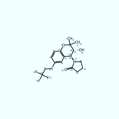 CC1(C)Oc2ccc(SCC(F)(F)F)cc2[C@H](N2CCCC2=O)[C@H]1O